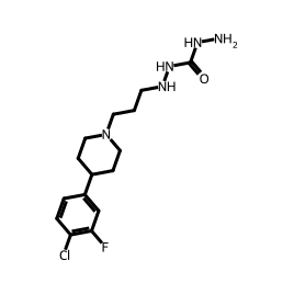 NNC(=O)NNCCCN1CCC(c2ccc(Cl)c(F)c2)CC1